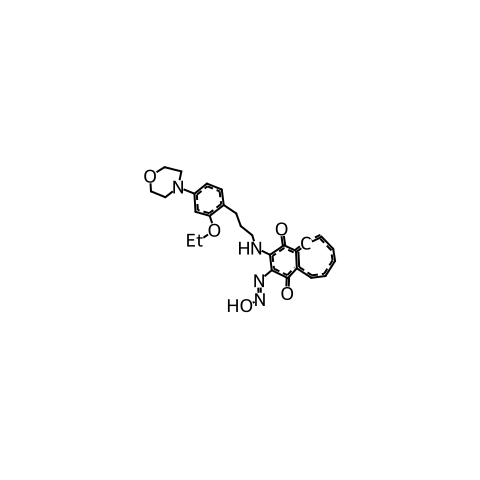 CCOc1cc(N2CCOCC2)ccc1CCCNc1c(/N=N/O)c(=O)c2ccccccc=2c1=O